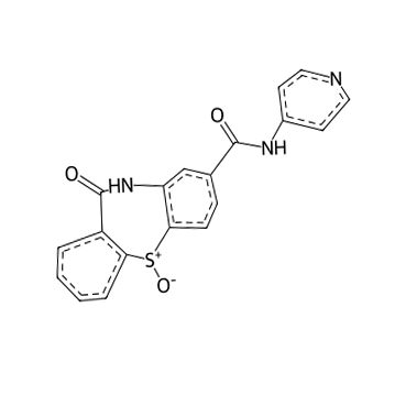 O=C(Nc1ccncc1)c1ccc2c(c1)NC(=O)c1ccccc1[S+]2[O-]